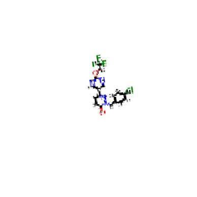 O=c1ccc(-c2cnc(OCC(F)(F)F)nc2)nn1Cc1ccc(Cl)cc1